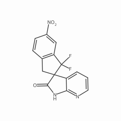 O=C1Nc2ncccc2C12Cc1ccc([N+](=O)[O-])cc1C2(F)F